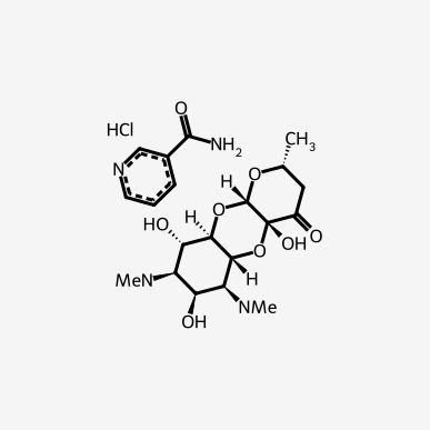 CN[C@@H]1[C@H](O)[C@H](NC)[C@H]2O[C@@]3(O)C(=O)C[C@@H](C)O[C@H]3O[C@@H]2[C@H]1O.Cl.NC(=O)c1cccnc1